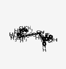 Cc1ncsc1-c1ccc(C(C)NC(=O)[C@@H]2C[C@@H](O)CN2C(=O)C(NC(=O)COCCOCCOCCOCCN(C)C(=O)CCNc2nc(N3CCNCC3)c3cc(Cl)c(-c4c(O)cccc4F)c(F)c3n2)C(C)(C)C)cc1